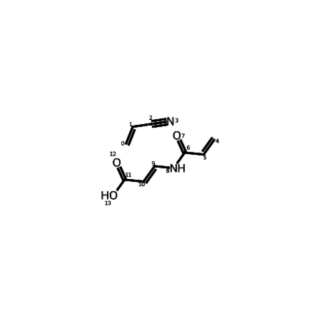 C=CC#N.C=CC(=O)NC=CC(=O)O